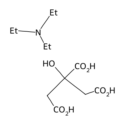 CCN(CC)CC.O=C(O)CC(O)(CC(=O)O)C(=O)O